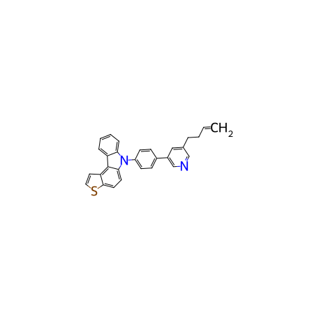 C=CCCc1cncc(-c2ccc(-n3c4ccccc4c4c5ccsc5ccc43)cc2)c1